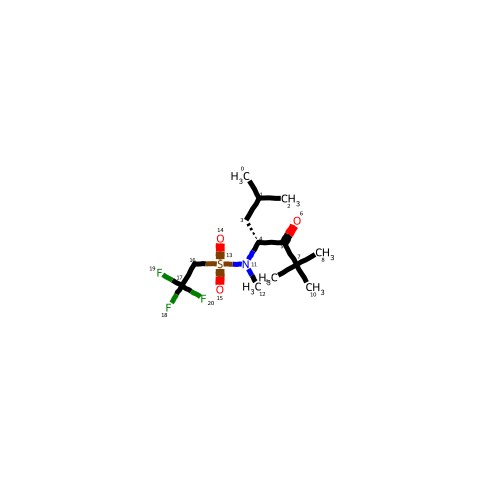 CC(C)C[C@H](C(=O)C(C)(C)C)N(C)S(=O)(=O)CC(F)(F)F